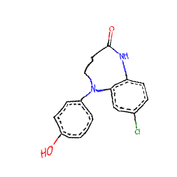 O=C1CCN(c2ccc(O)cc2)c2cc(Cl)ccc2N1